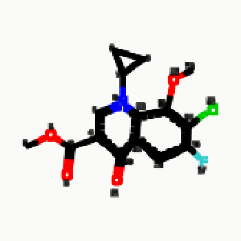 COC(=O)c1cn(C2CC2)c2c(OC)c(Cl)c(F)cc2c1=O